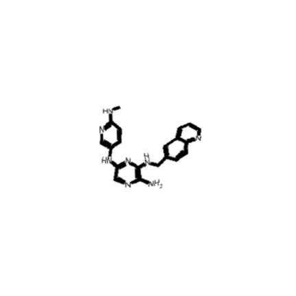 CNc1ccc(Nc2cnc(N)c(NCc3ccc4ncccc4c3)n2)cn1